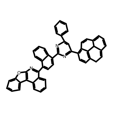 C1=CC2=CCc3ccc(-c4cc(-c5ccccc5)nc(-c5ccc(-c6nc7oc8ccccc8c7c7ccccc67)c6ccccc56)n4)c4c3C2C(=C1)C=C4